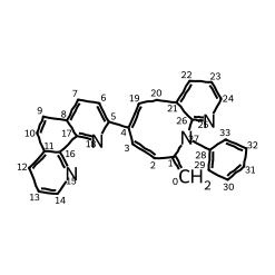 C=C1/C=C\C(c2ccc3ccc4cccnc4c3n2)=C/Cc2cccnc2N1c1ccccc1